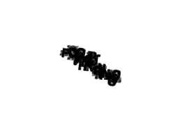 Cc1c(C(NC(=O)Nc2cnc(N3CC(S(C)(=O)=O)C3)nc2)C(C)C)oc2ccc(F)cc12